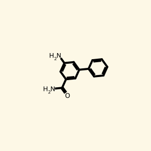 NC(=O)c1cc(N)cc(-c2ccccc2)c1